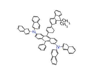 CC1(C)c2ccccc2-c2ccc(C3=CC=C(c4c5cc(N(c6ccc7ccccc7c6)c6ccc7ccccc7c6)ccc5c(-c5ccccc5)c5cc(N(C6=CCC7C=CC=CC7=C6)c6ccc7ccccc7c6)ccc45)CC3)cc21